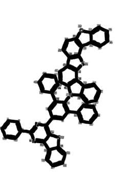 c1ccc(-c2nc(-c3cc(-c4ccccc4)c(-n4c5ccccc5c5c6sc7c(ccc8oc9ccccc9c87)c6ccc54)c(-c4ccccc4)c3)c3sc4ccccc4c3n2)cc1